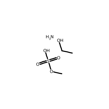 CCO.COS(=O)(=O)O.N